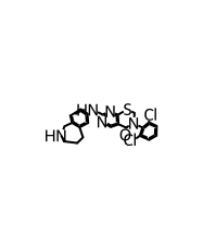 O=C1c2cnc(Nc3ccc4c(c3)CCCNC4)nc2SCN1c1c(Cl)cccc1Cl